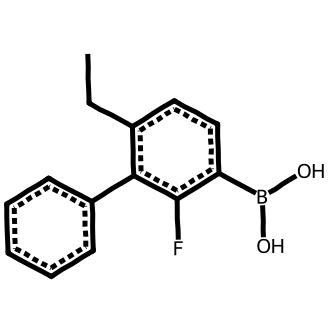 CCc1ccc(B(O)O)c(F)c1-c1ccccc1